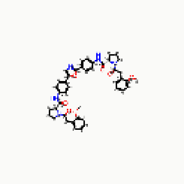 COc1ccccc1CC(=O)N1CCC[C@H]1C(=O)Nc1ccc(-c2cnc(-c3ccc(NC(=O)[C@@H]4CCCN4C(=O)Cc4ccccc4OC)cc3)o2)cc1